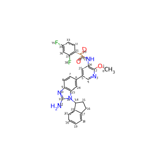 COc1ncc(-c2ccc3nc(N)n(C4CCc5ccccc54)c3c2)cc1NS(=O)(=O)c1ccc(F)cc1F